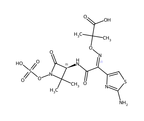 CC(C)(O/N=C(\C(=O)N[C@@H]1C(=O)N(OS(=O)(=O)O)C1(C)C)c1csc(N)n1)C(=O)O